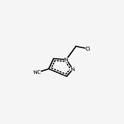 N#Cc1cnn(CCl)c1